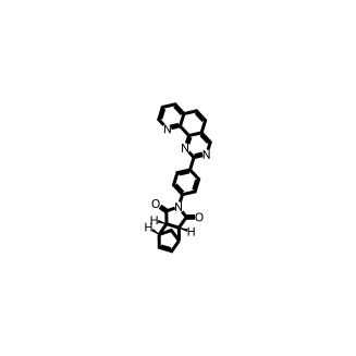 O=C1[C@@H]2[C@H](C(=O)N1c1ccc(-c3ncc4ccc5cccnc5c4n3)cc1)C1C=C[C@H]2C1